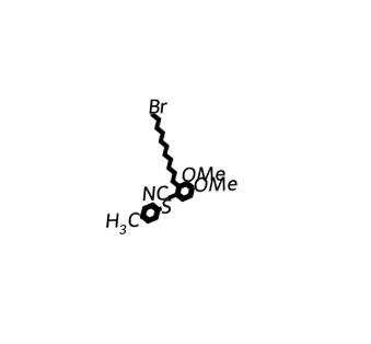 COc1ccc(C(C#N)Sc2ccc(C)cc2)c(CCCCCCCCCCCBr)c1OC